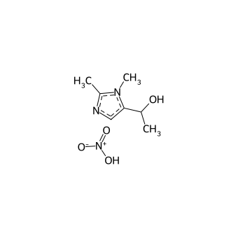 Cc1ncc(C(C)O)n1C.O=[N+]([O-])O